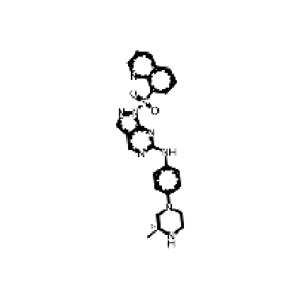 C[C@H]1CN(c2ccc(Nc3ncc4cnn(S(=O)(=O)c5cccc6cccnc56)c4n3)cc2)CCN1